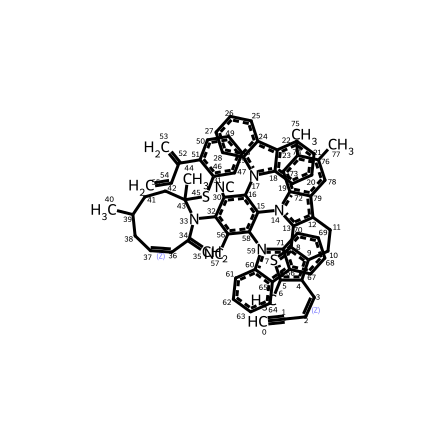 C#C/C=C\c1c(C)sc2c1CCc1c-2n(-c2c(-n3c4ccccc4c4ccccc43)c(C#N)c(N3C(=C)/C=C\CC(C)CCC3(C)Sc3ccccc3C(=C)C=C)c(C#N)c2-n2c3ccccc3c3ccccc32)c2cc(C)c(C)cc12